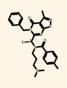 CC[C@@H](c1nc2snc(C)c2c(=O)n1Cc1ccccc1)N(CCCN(C)C)C(=O)c1ccc(C)cc1